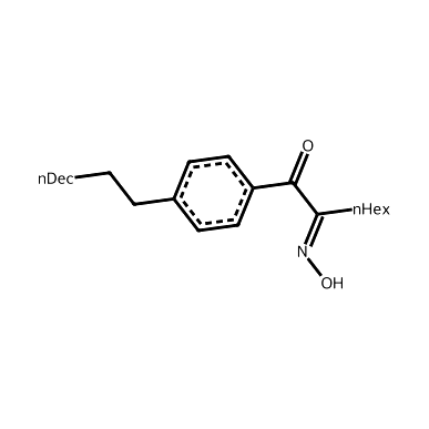 CCCCCCCCCCCCc1ccc(C(=O)C(CCCCCC)=NO)cc1